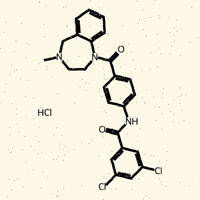 CN1CCN(C(=O)c2ccc(NC(=O)c3cc(Cl)cc(Cl)c3)cc2)c2ccccc2C1.Cl